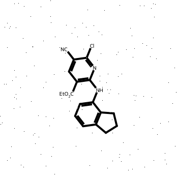 CCOC(=O)c1cc(C#N)c(Cl)nc1Nc1cccc2c1CCC2